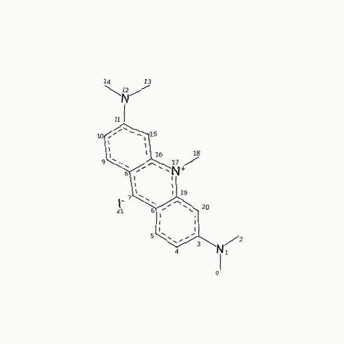 CN(C)c1ccc2cc3ccc(N(C)C)cc3[n+](C)c2c1.[I-]